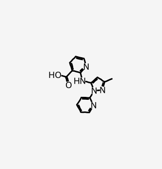 Cc1cc(Nc2ncccc2C(=O)O)n(-c2ccccn2)n1